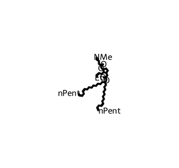 CC/C=C\CC1C(CC(=O)OC(CCCCCCCC/C=C\C/C=C\CCCCC)CCCCCCCC/C=C\C/C=C\CCCCC)CCC1OC(=O)CCCNC